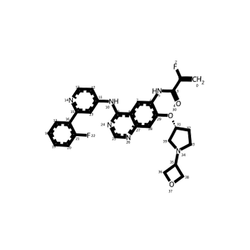 C=C(F)C(=O)Nc1cc2c(Nc3ccnc(-c4ccccc4F)c3)ncnc2cc1O[C@@H]1CCN(C2COC2)C1